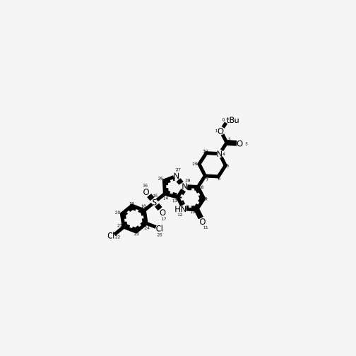 CC(C)(C)OC(=O)N1CCC(c2cc(=O)[nH]c3c(S(=O)(=O)c4ccc(Cl)cc4Cl)cnn23)CC1